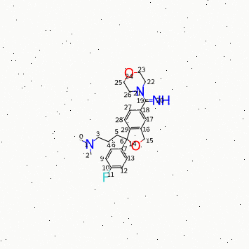 CN(C)CCCC1(c2ccc(F)cc2)OCc2cc(C(=N)N3CCOCC3)ccc21